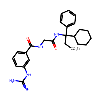 CCOC(=O)CC(NC(=O)CNC(=O)c1cccc(NC(=N)N)c1)(c1ccccc1)C1CCCCC1